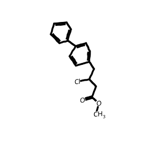 COC(=O)CC(Cl)Cc1ccc(-c2ccccc2)cc1